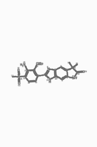 COc1c(-c2nc3cc4c(cc3[nH]2)NC(=O)C4(C)C)ccc(S(C)(=O)=O)c1N